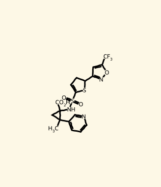 CC1(c2cccnc2)CC1(NS(=O)(=O)C1=CCC(c2cc(C(F)(F)F)on2)S1)C(=O)O